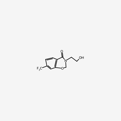 O=C1c2ccc(C(F)(F)F)cc2OCN1CCO